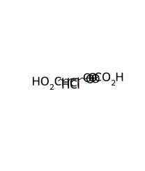 Cl.Cl.O=C(O)CCCCCCCCCCOOOOC(=O)O